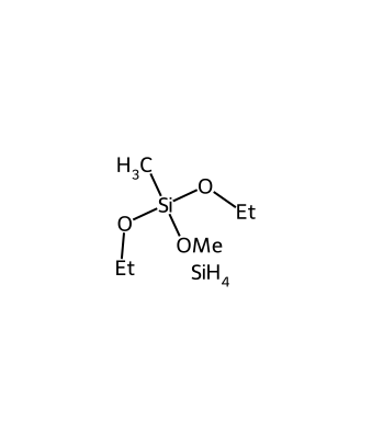 CCO[Si](C)(OC)OCC.[SiH4]